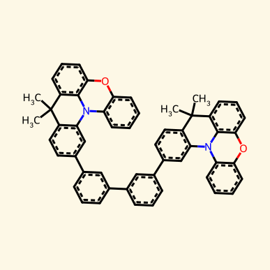 CC1(C)c2ccc(-c3cccc(-c4cccc(-c5ccc6c(c5)N5c7ccccc7Oc7cccc(c75)C6(C)C)c4)c3)cc2N2c3ccccc3Oc3cccc1c32